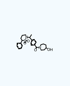 CC(c1ccc(C(=O)N2CCCC(O)CC2)cc1)N1CCCC(c2ccccc2)S1(=O)=O